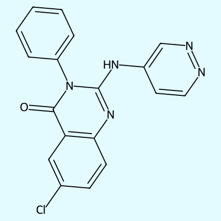 O=c1c2cc(Cl)ccc2nc(Nc2ccnnc2)n1-c1ccccc1